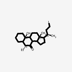 CC[C@H]1C(=O)C2C3CCC([C@H](C)CCI)[C@@]3(C)CCC2[C@@]2(C)CCCCC12